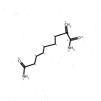 C=C(CCCCCCC(N)=O)C(N)=O